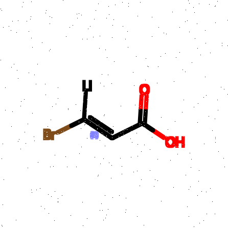 [Li]/[C](Br)=C\C(=O)O